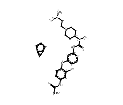 CC(=O)NC(=S)Nc1ccc(Oc2ccnc(NC(=O)N(C)C3CCN(CCN(C)C)CC3)c2)c(F)c1.c1cc2cc-2c1